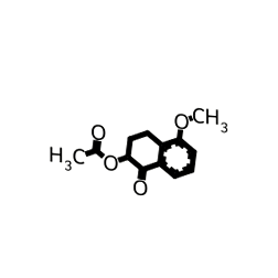 COc1cccc2c1CCC(OC(C)=O)C2=O